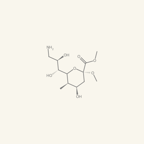 COC(=O)[C@@]1(OC)C[C@@H](O)[C@@H](C)C([C@H](O)[C@H](O)CN)O1